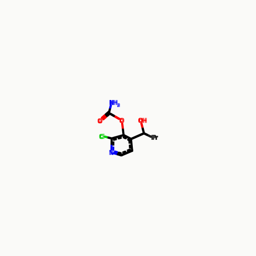 CC(C)C(O)c1ccnc(Cl)c1OC(N)=O